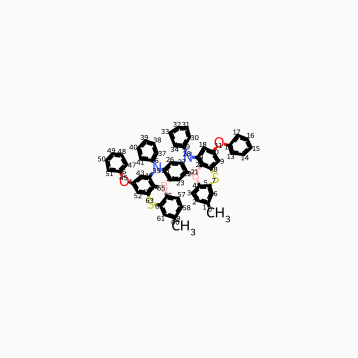 Cc1ccc2c(c1)Sc1cc(Oc3ccccc3)cc3c1B2c1cc2c(cc1N3c1ccccc1)N(c1ccccc1)c1cc(Oc3ccccc3)cc3c1B2c1ccc(C)cc1S3